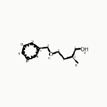 C[C@H](CO)CCOCc1ccccc1